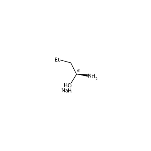 CCC[C@@H](N)O.[NaH]